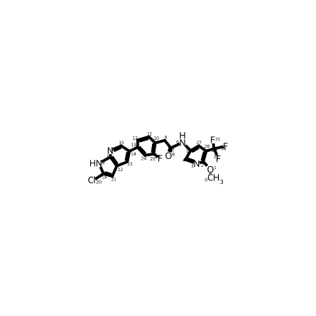 COc1ncc(NC(=O)Cc2ccc(-c3cnc4[nH]c(Cl)cc4c3)cc2F)cc1C(F)(F)F